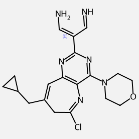 N=C/C(=C\N)c1nc2c(c(N3CCOCC3)n1)N=C(Cl)CC(CC1CC1)=C2